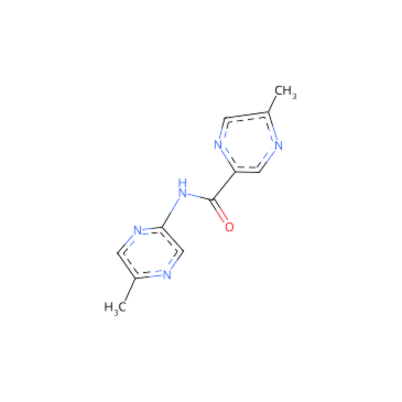 Cc1cnc(NC(=O)c2cnc(C)cn2)cn1